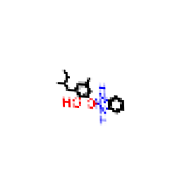 CCC(C)Cc1cc(C)cc(ON2Nc3ccccc3N2)c1O